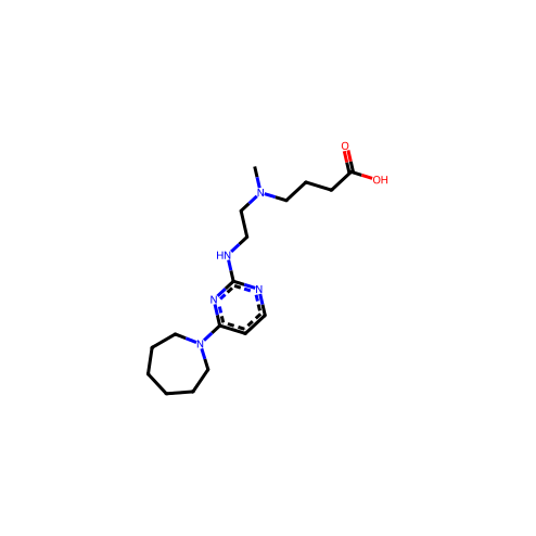 CN(CCCC(=O)O)CCNc1nccc(N2CCCCCC2)n1